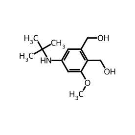 COc1cc(NC(C)(C)C)cc(CO)c1CO